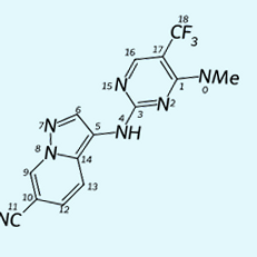 CNc1nc(Nc2cnn3cc(C#N)ccc23)ncc1C(F)(F)F